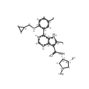 CC(=O)N1C[C@@H](F)[C@@H](NC(=O)c2c(C)[nH]c3c(-c4cc(C)ccc4OCC4CC4)ncnc23)C1